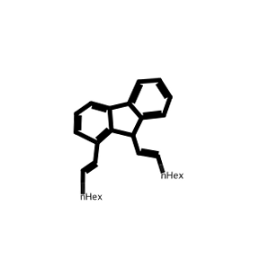 CCCCCCC=Cc1cccc2c1C(C=CCCCCCC)c1ccccc1-2